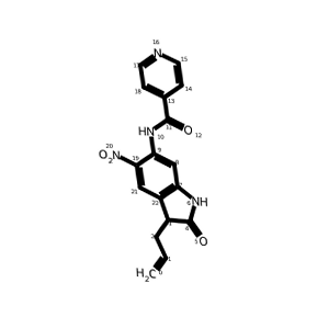 C=CCC1C(=O)Nc2cc(NC(=O)c3ccncc3)c([N+](=O)[O-])cc21